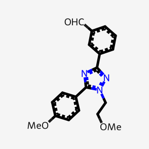 COCCn1nc(-c2cccc(C=O)c2)nc1-c1ccc(OC)cc1